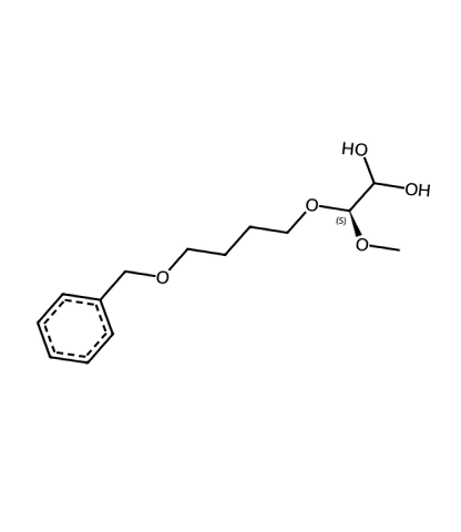 CO[C@@H](OCCCCOCc1ccccc1)C(O)O